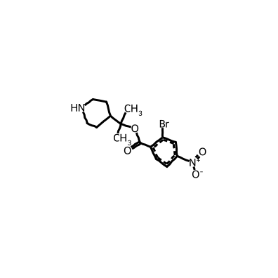 CC(C)(OC(=O)c1ccc([N+](=O)[O-])cc1Br)C1CCNCC1